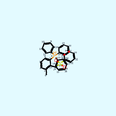 Cc1cccc([PH](c2ccccc2)(c2ccccc2)c2ccccc2)c1CS(=O)(=O)c1ccccc1